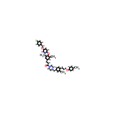 Cc1ccc(OCC=Cc2ccc(CN3CCN(C(=O)C=Cc4cc(C)c(Oc5ccc(OCc6ccc(F)cc6)cn5)c(C)c4)CC3)cc2C)cc1